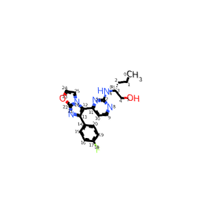 CCC[C@H](CO)Nc1nccc(-c2c(-c3ccc(F)cc3)nc3occn23)n1